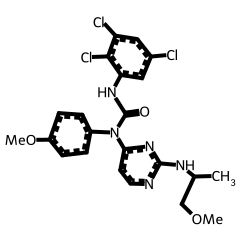 COCC(C)Nc1nccc(N(C(=O)Nc2cc(Cl)cc(Cl)c2Cl)c2ccc(OC)cc2)n1